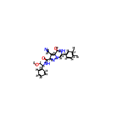 COCC(NC(=O)c1nn2cc(-c3ccc(C)c(C)c3)[nH]c(=O)c2c1C#N)c1ccccc1